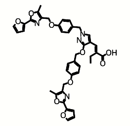 CCC(=Cc1cn(Cc2ccc(OCc3nc(-c4ccco4)oc3C)cc2)nc1OCc1ccc(OCc2nc(-c3ccco3)oc2C)cc1)C(=O)O